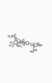 CC(C)[C@H](N)C(=O)N[C@@H](CCCNC(N)=O)C(=O)Nc1ccc(COC(=O)N(CC(=O)O)Cc2ccc[nH]2)cc1